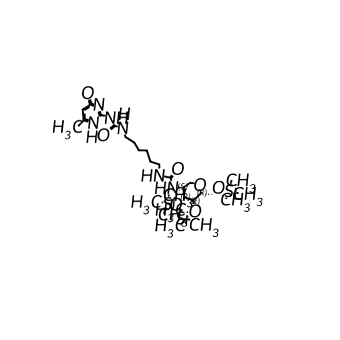 Cc1cc(=O)nc(NC(=O)NCCCCCCNC(=O)N[C@H]2CO[C@H](CO[Si](C)(C)C)[C@@H](O[Si](C)(C)C)[C@@H]2O[Si](C)(C)C)[nH]1